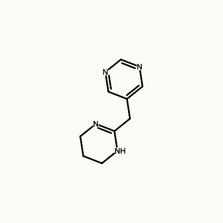 c1ncc(CC2=NCCCN2)cn1